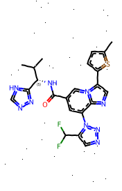 Cc1ccc(-c2cnc3c(-n4nncc4C(F)F)cc(C(=O)N[C@H](c4nnc[nH]4)C(C)C)cn23)s1